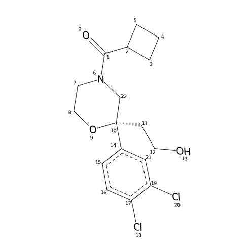 O=C(C1CCC1)N1CCO[C@](CCO)(c2ccc(Cl)c(Cl)c2)C1